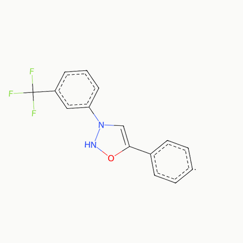 FC(F)(F)c1cccc(N2C=C(c3cc[c]cc3)ON2)c1